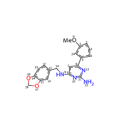 COc1cccc(-c2cc(NCc3ccc4c(c3)OCO4)nc(N)n2)c1